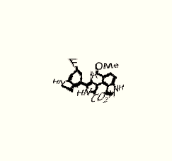 COCc1ccc2[nH]ccc2c1-c1c(C(=O)O)[nH]c(-c2cc(F)cc3[nH]ccc23)c1C(C)C